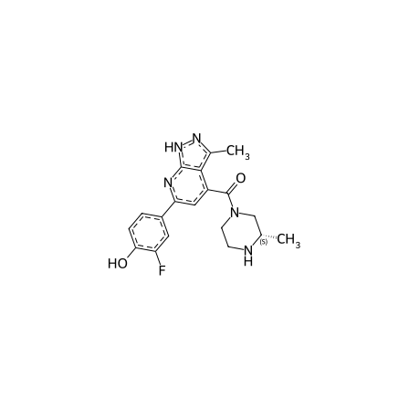 Cc1n[nH]c2nc(-c3ccc(O)c(F)c3)cc(C(=O)N3CCN[C@@H](C)C3)c12